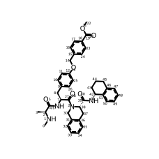 CN[C@@H](C)C(=O)N[C@@H](Cc1ccc(OCc2ccc(C(=O)OC)cc2)cc1)C(=O)N1Cc2ccccc2C[C@H]1C(=O)N[C@@H]1CCCc2ccccc21